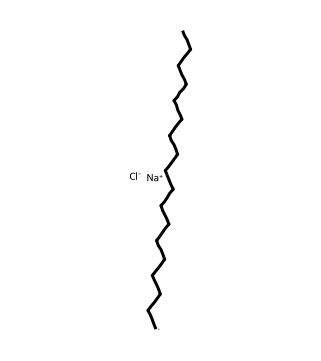 [CH2]CCCCCCCCCCCCCCCCC.[Cl-].[Na+]